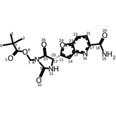 CC(C)(C)C(=O)OCN1C(=O)N[C@@H](c2cc3nc(C(N)=O)ccc3o2)C1=O